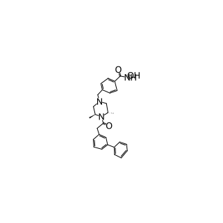 C[C@H]1CN(Cc2ccc(C(=O)NO)cc2)C[C@H](C)N1C(=O)Cc1cccc(-c2ccccc2)c1